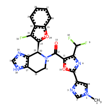 Cn1cnc(-c2nc(C(F)F)c(C(=O)N3CCc4[nH]cnc4[C@H]3c3oc4ccccc4c3F)o2)c1